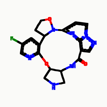 O=C1NC2CNCC2Oc2ncc(F)cc2C2CCON2c2ccn3ncc1c3n2